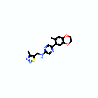 Cc1cc2c(cc1-c1cnc(NCc3snnc3C)cn1)OCCO2